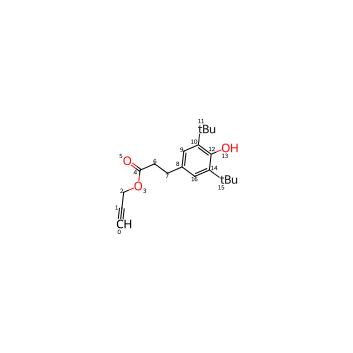 C#CCOC(=O)CCc1cc(C(C)(C)C)c(O)c(C(C)(C)C)c1